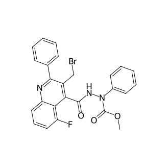 COC(=O)N(NC(=O)c1c(CBr)c(-c2ccccc2)nc2cccc(F)c12)c1ccccc1